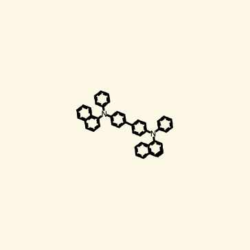 c1cc(N(c2ccccc2)c2ccc(-c3ccc(N(c4ccccc4)c4cccc5ccccc45)cc3)cc2)c2ccccc2c#1